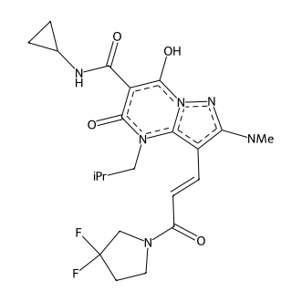 CNc1nn2c(O)c(C(=O)NC3CC3)c(=O)n(CC(C)C)c2c1C=CC(=O)N1CCC(F)(F)C1